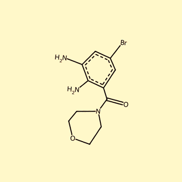 Nc1cc(Br)cc(C(=O)N2CCOCC2)c1N